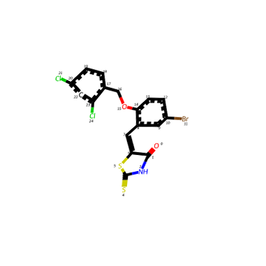 O=C1NC(=S)SC1=Cc1cc(Br)ccc1OCc1ccc(Cl)cc1Cl